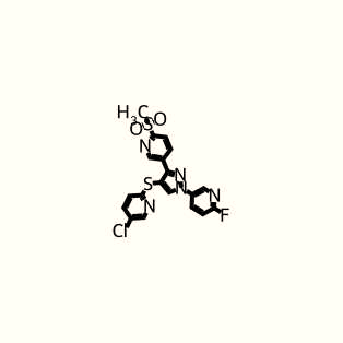 CS(=O)(=O)c1ccc(-c2nn(-c3ccc(F)nc3)cc2Sc2ccc(Cl)cn2)cn1